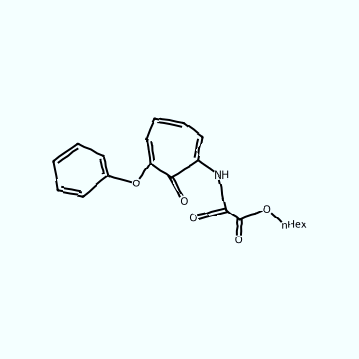 CCCCCCOC(=O)C(=O)Nc1ccccc(Oc2ccccc2)c1=O